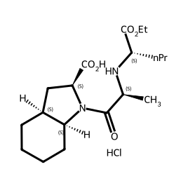 CCC[C@H](N[C@@H](C)C(=O)N1[C@H](C(=O)O)C[C@@H]2CCCC[C@@H]21)C(=O)OCC.Cl